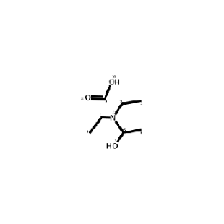 CCN(CC)C(C)O.O=CO